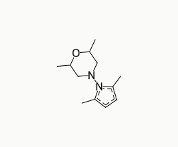 Cc1ccc(C)n1N1CC(C)OC(C)C1